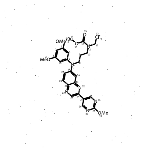 COc1cc(OC)cc(N(CCCN(CC(F)(F)F)C(=O)OC(C)(C)C)c2ccc3ncc(-c4cnc(OC)nc4)nc3c2)c1